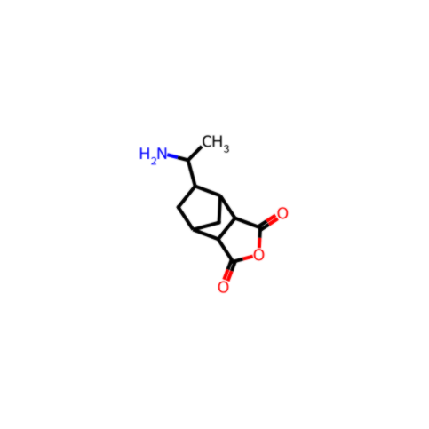 CC(N)C1CC2CC1C1C(=O)OC(=O)C21